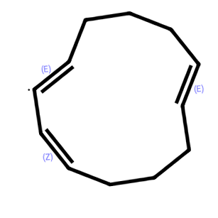 [C]1=C/CCC/C=C/CCC\C=C/1